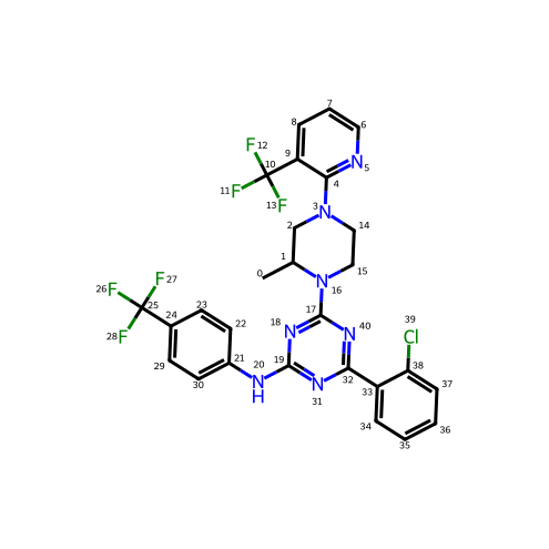 CC1CN(c2ncccc2C(F)(F)F)CCN1c1nc(Nc2ccc(C(F)(F)F)cc2)nc(-c2ccccc2Cl)n1